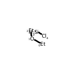 CCOCC.[SiH3]Cl